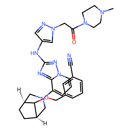 CN1CCN(C(=O)Cn2cc(Nc3nc4c(N5C[C@H]6CC[C@@H](C5)C6OCc5cccc(C#N)c5)cccn4n3)cn2)CC1